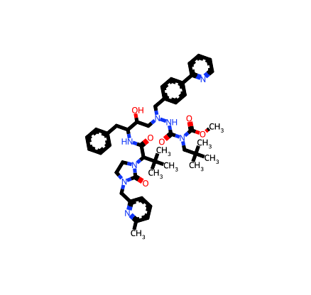 COC(=O)N(CC(C)(C)C)C(=O)NN(Cc1ccc(-c2ccccn2)cc1)CC(O)C(Cc1ccccc1)NC(=O)C(N1CCN(Cc2cccc(C)n2)C1=O)C(C)(C)C